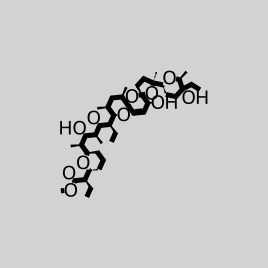 CC[C@@H](C(=O)[C@@H](C)[C@@H](O)[C@H](C)[C@H]1CCC[C@H]([C@@H](CC)C(=O)OC)O1)[C@H]1O[C@@]2(C=C[C@@H](O)[C@]3(CC[C@@](C)([C@H]4CC[C@](O)(CC)[C@H](C)O4)O3)O2)[C@H](C)C[C@@H]1C